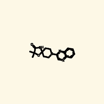 CC1(C)OC2(CCN(c3cnc4ccccc4n3)CC2)NC1=O